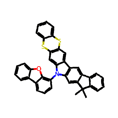 CC1(C)c2ccccc2-c2cc3c4cc5c(cc4n(-c4cccc6c4oc4ccccc46)c3cc21)Sc1ccccc1S5